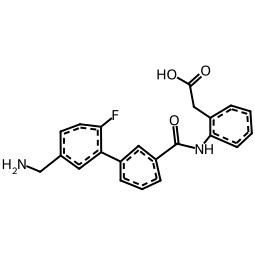 NCc1ccc(F)c(-c2cccc(C(=O)Nc3ccccc3CC(=O)O)c2)c1